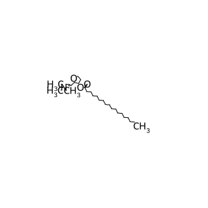 CCCCCCCCCCCCCCCCCC(=O)OC1CCOC1CC[N+](C)(C)C